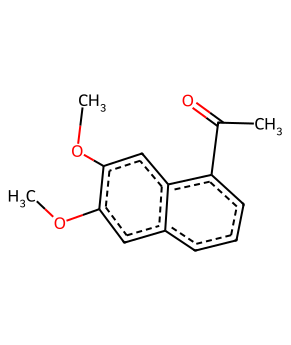 COc1cc2cccc(C(C)=O)c2cc1OC